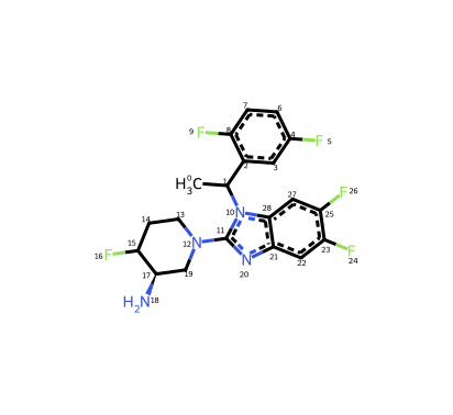 CC(c1cc(F)ccc1F)n1c(N2CCC(F)[C@H](N)C2)nc2cc(F)c(F)cc21